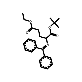 CCOC(=O)CCC(N=C(c1ccccc1)c1ccccc1)C(=O)OC(C)(C)C